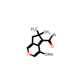 COC1=COC=C2CC(C)(C)C(C(=O)C(C)C)=C21